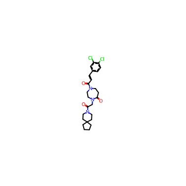 O=C(C=Cc1ccc(Cl)c(Cl)c1)N1CCC(=O)N(CC(=O)N2CCC3(CCCC3)CC2)CC1